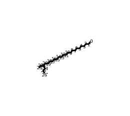 [CH2]CCCCCCCCCCCCCCCCCCCCC(CC)CC[CH2]